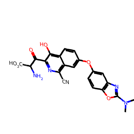 CN(C)c1nc2cc(Oc3ccc4c(O)c(C(=O)C(N)C(=O)O)nc(C#N)c4c3)ccc2o1